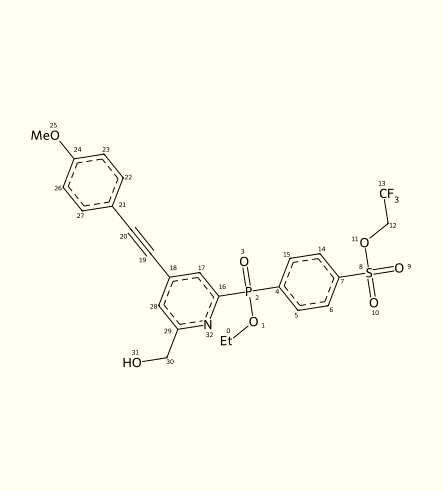 CCOP(=O)(c1ccc(S(=O)(=O)OCC(F)(F)F)cc1)c1cc(C#Cc2ccc(OC)cc2)cc(CO)n1